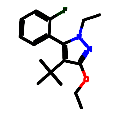 CCOc1nn(CC)c(-c2ccccc2F)c1C(C)(C)C